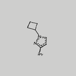 CC(C)c1ccn(C2CCC2)n1